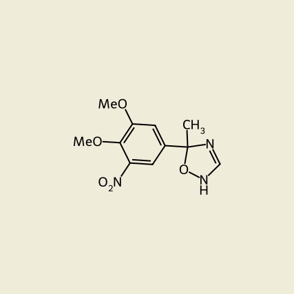 COc1cc(C2(C)N=CNO2)cc([N+](=O)[O-])c1OC